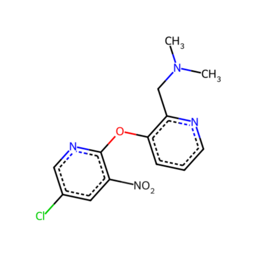 CN(C)Cc1ncccc1Oc1ncc(Cl)cc1[N+](=O)[O-]